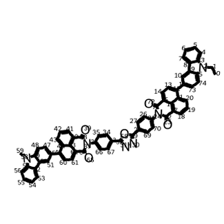 CCn1c2ccccc2c2cc(-c3ccc4c5c(cccc35)C(=O)N(c3ccc(-c5nnc(-c6ccc(N7C(=O)c8cccc9c(-c%10ccc%11c(c%10)c%10ccccc%10n%11C)ccc(c89)C7=O)cc6)o5)cc3)C4=O)ccc21